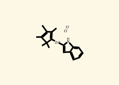 CC1=C(C)C(C)(C)[C]([Zr+2][c]2cc3ccccc3[nH]2)=C1C.[Cl-].[Cl-]